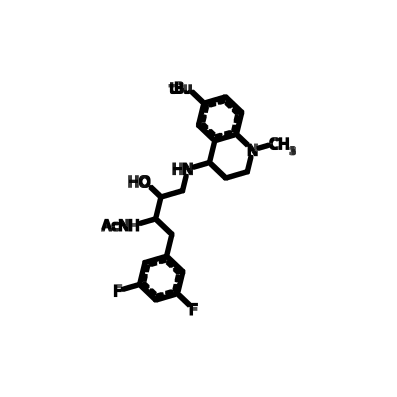 CC(=O)NC(Cc1cc(F)cc(F)c1)C(O)CNC1CCN(C)c2ccc(C(C)(C)C)cc21